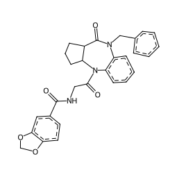 O=C(NCC(=O)N1c2ccccc2N(Cc2ccccc2)C(=O)C2CCCC21)c1ccc2c(c1)OCO2